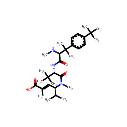 CNC(C(=O)N[C@H](C(=O)N(C)[C@H](/C=C(\C)C(=O)O)C(C)C)C(C)(C)C)C(C)(C)c1ccc(C(C)(C)C)cc1